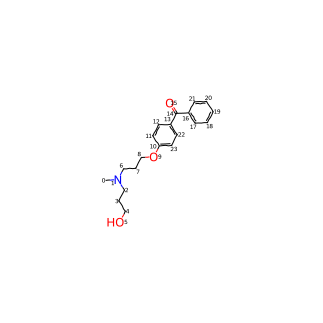 CN(CCCO)CCCOc1ccc(C(=O)c2ccccc2)cc1